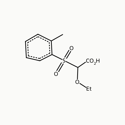 CCOC(C(=O)O)S(=O)(=O)c1ccccc1C